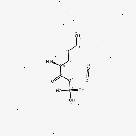 CSCC[C@H](N)C(=O)OP(=O)(O)O.O=S